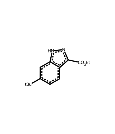 CCOC(=O)c1n[nH]c2cc(C(C)(C)C)ccc12